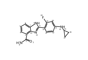 NC(=O)c1cccc2[nH]c(-c3ccc(NC4CC4)cc3F)nc12